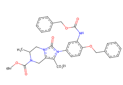 CCOC(=O)c1c2n(c(=O)n1-c1ccc(OCc3ccccc3)c(NC(=O)OCc3ccccc3)c1)CC(C)N(C(=O)OC(C)(C)C)C2